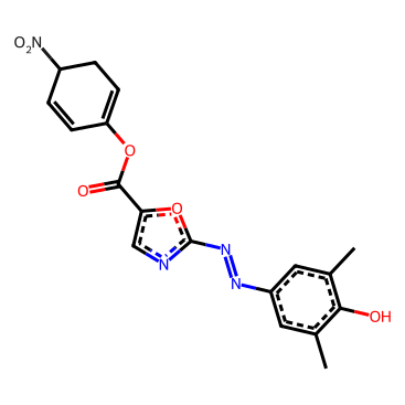 Cc1cc(/N=N/c2ncc(C(=O)OC3=CCC([N+](=O)[O-])C=C3)o2)cc(C)c1O